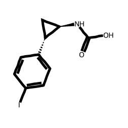 O=C(O)N[C@@H]1C[C@H]1c1ccc(I)cc1